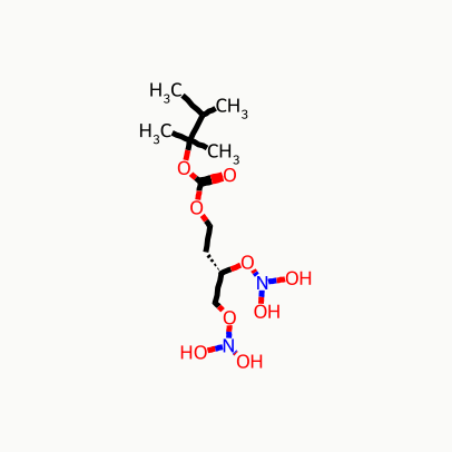 CC(C)C(C)(C)OC(=O)OCC[C@@H](CON(O)O)ON(O)O